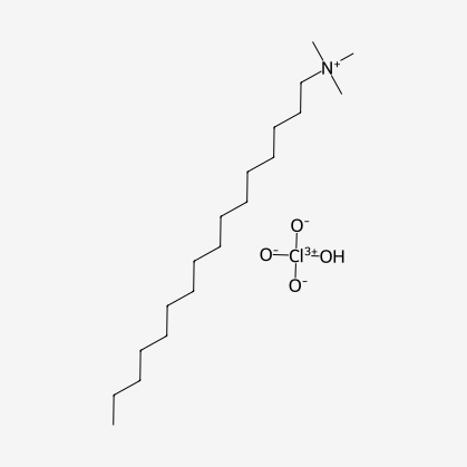 CCCCCCCCCCCCCCCC[N+](C)(C)C.[O-][Cl+3]([O-])([O-])O